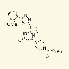 COc1ccccc1-c1nnc(-c2cnn3c(C4CCN(C(=O)OC(C)(C)C)CC4)cc(=O)[nH]c23)o1